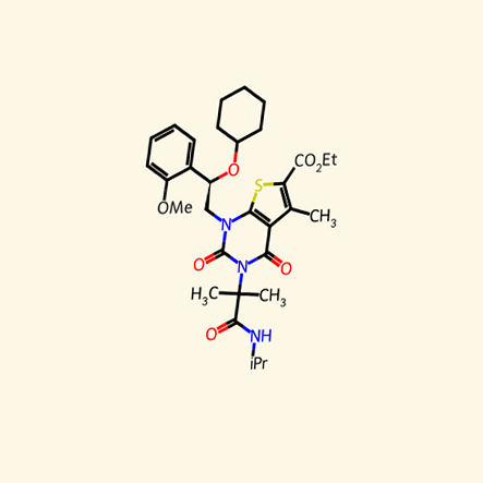 CCOC(=O)c1sc2c(c1C)c(=O)n(C(C)(C)C(=O)NC(C)C)c(=O)n2C[C@H](OC1CCCCC1)c1ccccc1OC